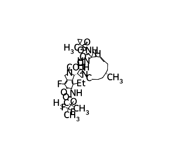 CCC1=C2C(=C(F)C(=O)[C@H]1NC(=O)OC(C)(C)C(C)(F)F)CN(C(=O)O)C2[C@@H]1C[C@H]2C(=O)N[C@]3(C(=O)NS(=O)(=O)C4(C)CC4)C[C@H]3/C=C\CC[C@H](C)CCCCN2C1